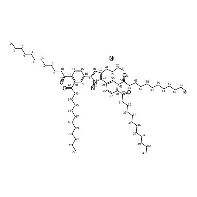 CCCCCCCCCCCC(=O)c1ccc(C2=CC(CCCC)=C(c3ccc(C(=O)CCCCCCCCCCC)c(C(=O)CCCCCCCCCCC)c3)[N+]2=[N-])cc1C(=O)CCCCCCCCCCC.[Ni]